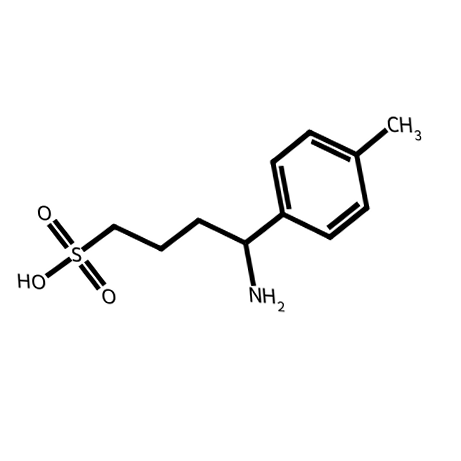 Cc1ccc(C(N)CCCS(=O)(=O)O)cc1